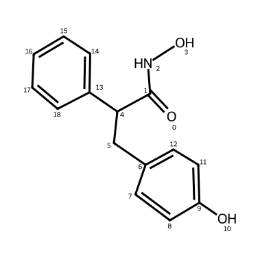 O=C(NO)C(Cc1ccc(O)cc1)c1ccccc1